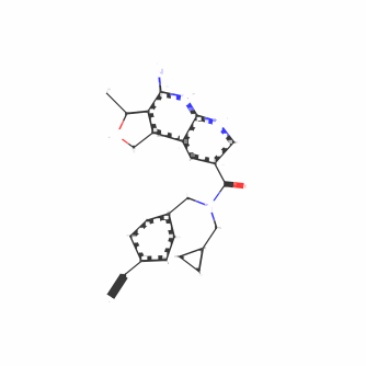 C#Cc1ccc(CN(CC2CC2)C(=O)c2cnc3nc(N)c4c(c3c2)COC4C)cc1